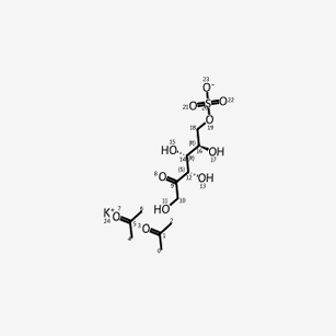 CC(C)=O.CC(C)=O.O=C(CO)[C@@H](O)[C@H](O)[C@H](O)COS(=O)(=O)[O-].[K+]